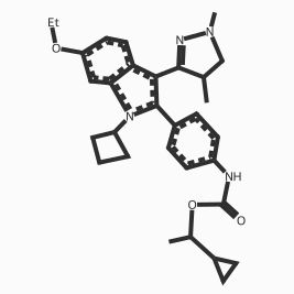 CCOc1ccc2c(C3=NN(C)CC3C)c(-c3ccc(NC(=O)OC(C)C4CC4)cc3)n(C3CCC3)c2c1